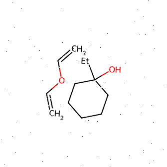 C=COC=C.CCC1(O)CCCCC1